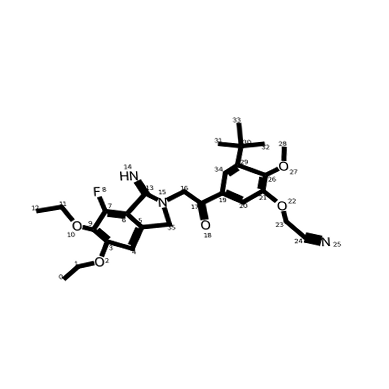 CCOc1cc2c(c(F)c1OCC)C(=N)N(CC(=O)c1cc(OCC#N)c(OC)c(C(C)(C)C)c1)C2